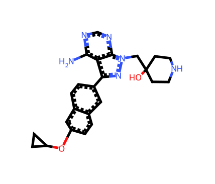 Nc1ncnc2c1c(-c1ccc3cc(OC4CC4)ccc3c1)nn2CC1(O)CCNCC1